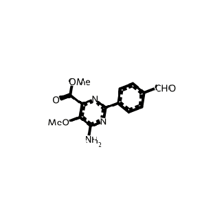 COC(=O)c1nc(-c2ccc(C=O)cc2)nc(N)c1OC